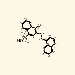 O=S(=O)(O)c1cc(/N=N/c2cccc3cccnc23)c(O)c2ncccc12